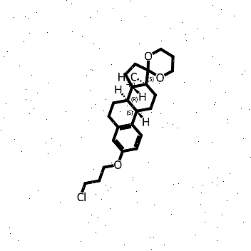 C[C@]12CC[C@@H]3c4ccc(OCCCCl)cc4CC[C@H]3[C@@H]1CCC21OCCCO1